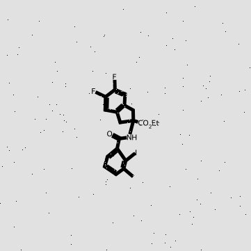 CCOC(=O)C1(NC(=O)c2cccc(C)c2I)Cc2cc(F)c(F)cc2C1